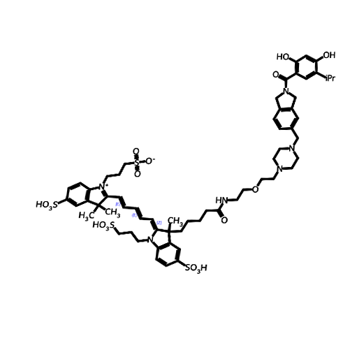 CC(C)c1cc(C(=O)N2Cc3ccc(CN4CCN(CCOCCNC(=O)CCCCC5(C)/C(=C/C=C/C=C/C6=[N+](CCCS(=O)(=O)[O-])c7ccc(S(=O)(=O)O)cc7C6(C)C)N(CCCS(=O)(=O)O)c6ccc(S(=O)(=O)O)cc65)CC4)cc3C2)c(O)cc1O